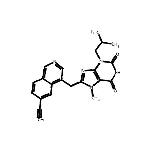 C#Cc1ccc2cncc(Cc3nc4c(c(=O)[nH]c(=O)n4CC(C)C)n3C)c2c1